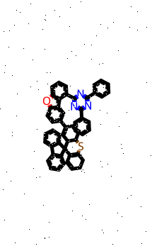 C1=CC2=C(CC1)SC1C=CC(c3ccc4oc5cccc(-c6nc(-c7ccccc7)nc(-c7ccccc7)n6)c5c4c3)=CC1C21c2ccccc2-c2ccccc21